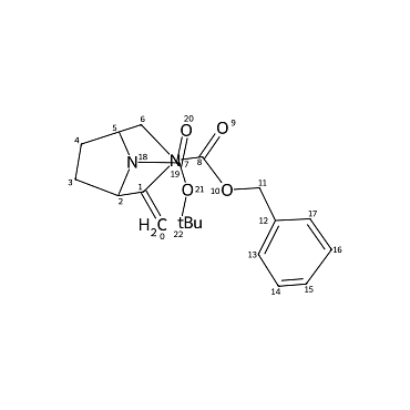 C=C1C2CCC(CN1C(=O)OCc1ccccc1)N2C(=O)OC(C)(C)C